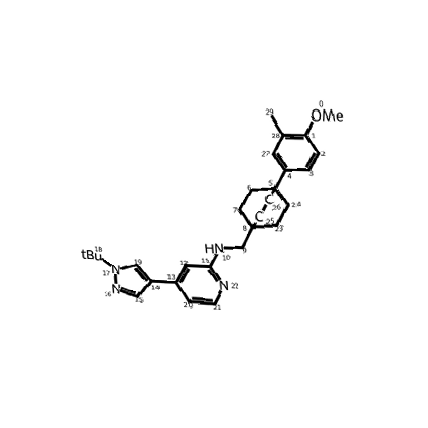 COc1ccc(C23CCC(CNc4cc(-c5cnn(C(C)(C)C)c5)ccn4)(CC2)CC3)cc1C